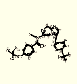 CN(C(=O)c1ccc(OC(F)(F)F)cc1)c1cn2c(-c3ccc(C(F)(F)F)cc3)cnc2cn1